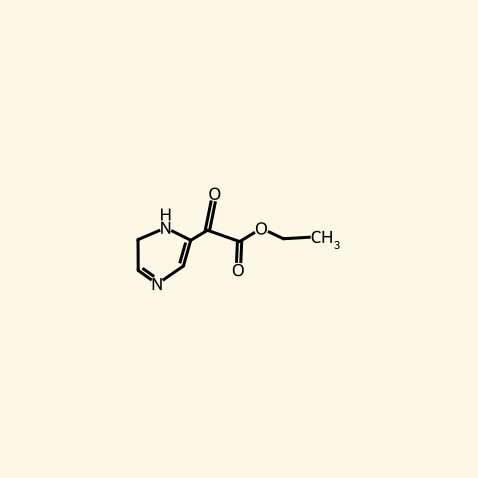 CCOC(=O)C(=O)C1=CN=CCN1